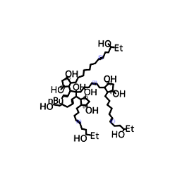 CCCCC=CC(C1C(CCCCCCC/C=C/CCC(O)CC)[C@H](O)C[C@@H]1O)C(O)(CCC/C=C\CC1C(CCCCC/C=C/CCC(O)CC)[C@H](O)C[C@@H]1O)C(C=CCCCCO)C1C(CCC/C=C/CCC(O)CC)[C@H](O)C[C@@H]1O